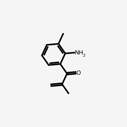 C=C(C)C(=O)c1cccc(C)c1N